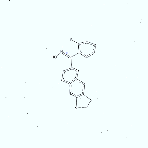 O/N=C(\c1ccc2nc3c(cc2c1)CCS3)c1ccccc1F